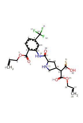 C=CCOC(=O)c1ccc(C(F)(F)F)cc1NC(=O)C1CC(C(C(=O)OCC=C)C(O)=S)CN1